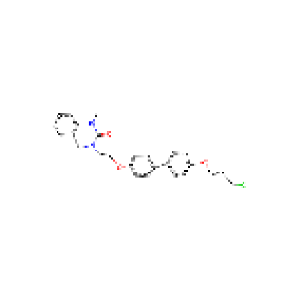 CNC(=O)N(CCOc1ccc(-c2ccc(OCCCCl)cc2)cc1)Cc1ccccc1